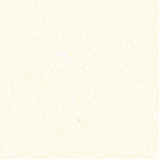 O=C1c2cccc([N+](=O)[O-])c2C(=O)N1C1=COC(c2ccccc2/C=C/c2n[nH]c3ccccc23)O1